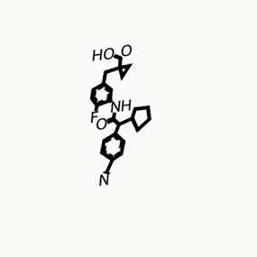 N#Cc1ccc(C(C(=O)Nc2cc(CC3(C(=O)O)CC3)ccc2F)C2CCCC2)cc1